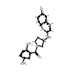 Cc1ccc(C(F)(F)F)c(C(=O)N2CC[C@@H](Nc3cnc4cc(Cl)ccc4n3)C2)c1